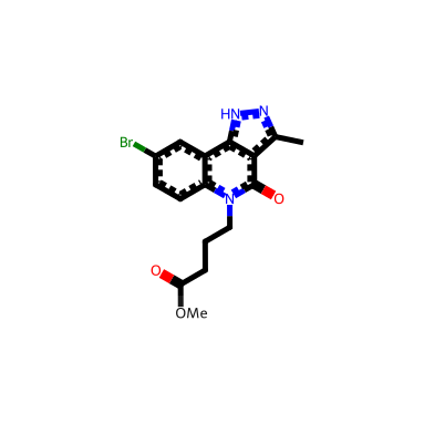 COC(=O)CCCn1c(=O)c2c(C)n[nH]c2c2cc(Br)ccc21